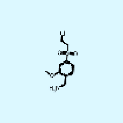 COc1cc(S(=O)(=O)CCCl)ccc1CN